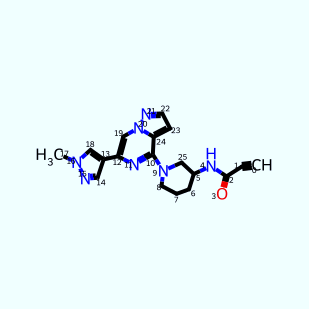 C#CC(=O)NC1CCCN(c2nc(-c3cnn(C)c3)cn3nccc23)C1